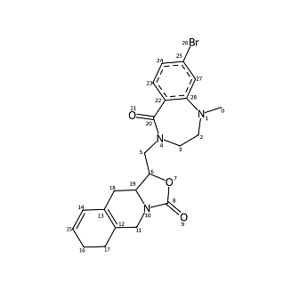 CN1CCN(CC2OC(=O)N3CC4=C(C=CCC4)CC23)C(=O)c2ccc(Br)cc21